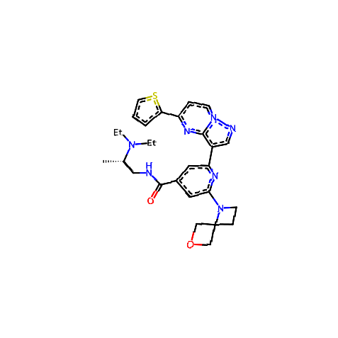 CCN(CC)[C@@H](C)CNC(=O)c1cc(-c2cnn3ccc(-c4cccs4)nc23)nc(N2CCC23COC3)c1